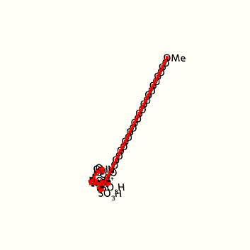 COCCOCCOCCOCCOCCOCCOCCOCCOCCOCCOCCOCCOCCOCCOCCOCCOCCOCCOCCOCCOCCOCCOCCOCCNC(=O)CCCCC[N+]1=c2cc3c(cc2C(C)CC1(C)C)=C(c1ccc(S(=O)(=O)O)cc1S(=O)(=O)O)c1cc2c(cc1O3)N(CCCCCC(=O)ON1C(=O)CCC1=O)C(C)(C)CC2C